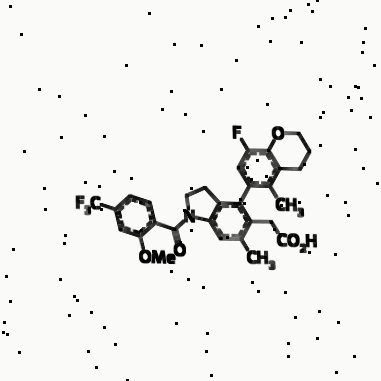 COc1cc(C(F)(F)F)ccc1C(=O)N1CCc2c1cc(C)c(CC(=O)O)c2-c1cc(F)c2c(c1C)CCCO2